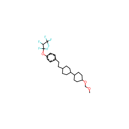 COCOC1CCC(C2CCC(CCc3ccc(OC(F)(F)C(F)C(F)(F)F)cc3)CC2)CC1